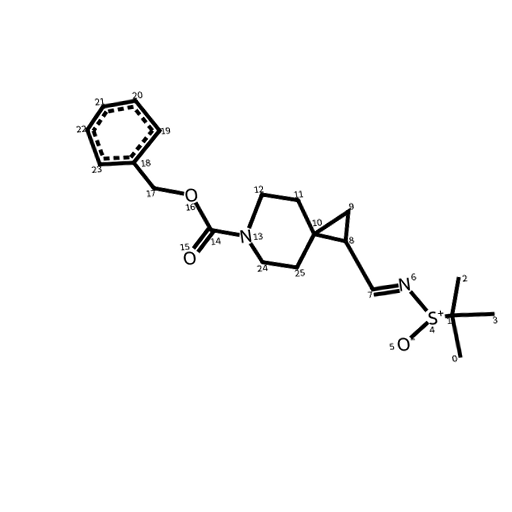 CC(C)(C)[S+]([O-])N=CC1CC12CCN(C(=O)OCc1ccccc1)CC2